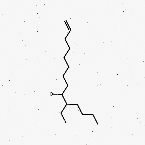 C=CCCCCCCC(O)C(CC)CCCC